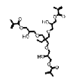 C=C(C)C(=O)OCC(O)COCC(CC)(COCC(O)COC(=O)C(=C)C)COCC(O)COC(=O)C(=C)C